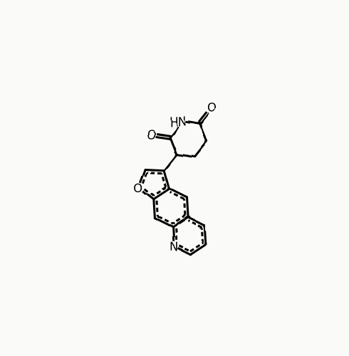 O=C1CCC(c2coc3cc4ncccc4cc23)C(=O)N1